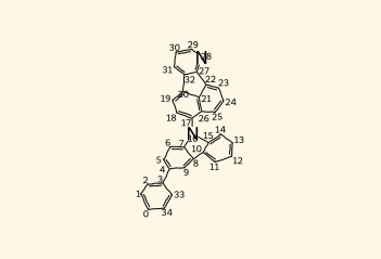 c1ccc(-c2ccc3c(c2)c2ccccc2n3-c2ccc3c4c(cccc24)-c2ncccc2-3)cc1